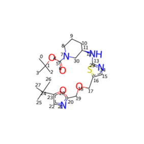 CC(C)(C)OC(=O)N1CCC[C@@H](Nc2ncc(COCc3ncc(C(C)(C)C)o3)s2)C1